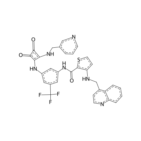 O=C(Nc1cc(Nc2c(NCc3cccnc3)c(=O)c2=O)cc(C(F)(F)F)c1)c1sccc1NCc1ccnc2ccccc12